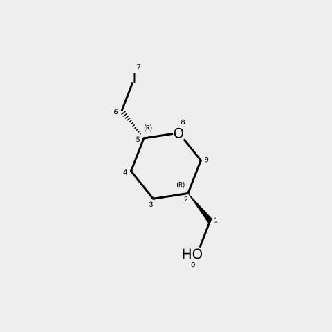 OC[C@H]1CC[C@H](CI)OC1